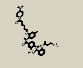 COc1cc(C(=O)N(C)c2ccc(C)cc2OCCCCCC(=O)N2CCC(N(C)C)CC2)ccc1NC(=O)c1ccccc1OC(C)CCN